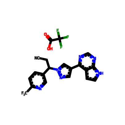 N#CCC(c1ccc(C(F)(F)F)nc1)n1cc(-c2ncnc3[nH]ccc23)cn1.O=C(O)C(F)(F)F